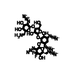 [N-]=[N+]=NC[C@H]1O[C@H](O[C@@H]2C(N=[N+]=[N-])CC(N=[N+]=[N-])[C@H](O)[C@H]2O[C@@H]2O[C@H](CO)[C@@H](O[C@H]3O[C@@H](CN)[C@@H](O)[C@H](O)C3N=[N+]=[N-])[C@H]2O)C(N=[N+]=[N-])C(F)(F)[C@@H]1O